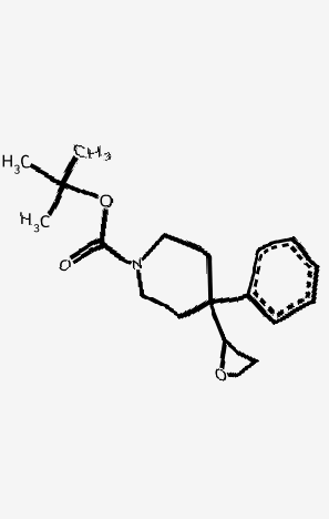 CC(C)(C)OC(=O)N1CCC(c2ccccc2)(C2CO2)CC1